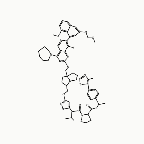 CCc1cccc2cc(OCOC)cc(-c3ncc4c(N5CCCCCC5)nc(OCC56CCCN5C(COc5cc(C(C(=O)N7CCCC7C(=O)NC(C)c7ccc(-c8scnc8C)cc7)C(C)C)on5)CC6)nc4c3F)c12